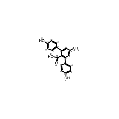 Cc1cc(-c2ccc(O)cc2)c(C(=O)O)c(-c2ccc(O)cc2)c1